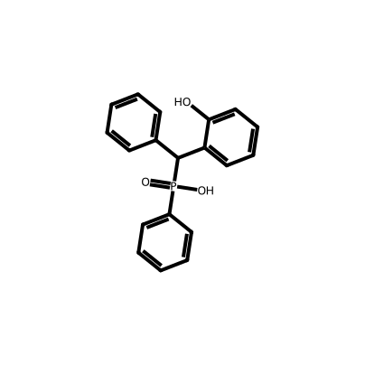 O=P(O)(c1ccccc1)C(c1ccccc1)c1ccccc1O